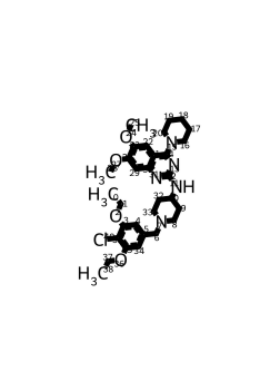 CCOc1cc(CN2CCC(Nc3nc(N4CCCCC4)c4cc(OC)c(OC)cc4n3)CC2)cc(OCC)c1Cl